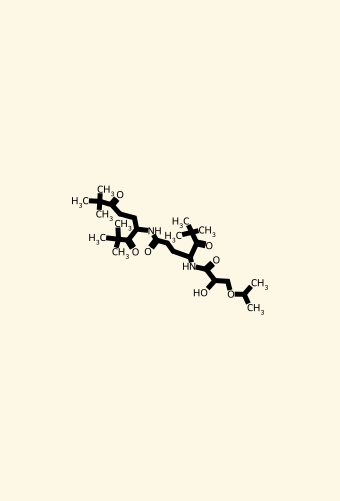 CC(C)OCC(O)C(=O)NC(CCC(=O)NC(CCC(=O)C(C)(C)C)C(=O)C(C)(C)C)C(=O)C(C)(C)C